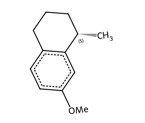 COc1ccc2c(c1)[C@@H](C)CCC2